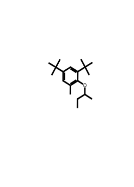 CCC(C)Oc1c(C)cc(C(C)(C)C)cc1C(C)(C)C